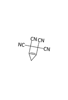 N#CC1(C#N)C2=C(C2)C1(C#N)C#N